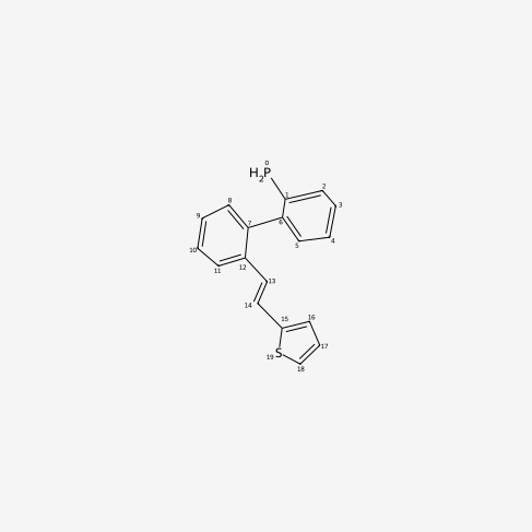 Pc1ccccc1-c1ccccc1C=Cc1cccs1